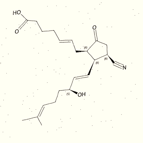 CC(C)=CCC[C@H](O)C=C[C@@H]1[C@H](C#N)CC(=O)[C@@H]1CC=CCCCC(=O)O